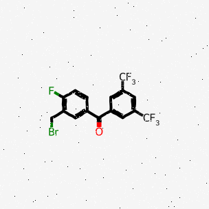 O=C(c1cc(C(F)(F)F)cc(C(F)(F)F)c1)c1ccc(F)c(CBr)c1